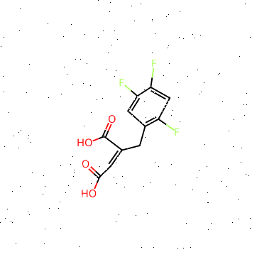 O=C(O)/C=C(/Cc1cc(F)c(F)cc1F)C(=O)O